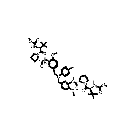 COC(=O)N[C@H](C(=O)N1CCC[C@H]1C(=O)Nc1cc(CN(Cc2ccc(OC)c(NC(=O)[C@@H]3CCCN3C(=O)[C@@H](NC(=O)OC)C(C)(C)C)c2)c2ccc(F)cc2)ccc1OC)C(C)(C)C